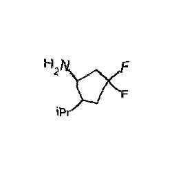 CC(C)C1CC(F)(F)CC1N